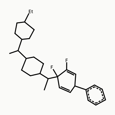 CCC1CCC(C(C)C2CCC(C(C)C3(F)C=CC(c4ccccc4)C=C3F)CC2)CC1